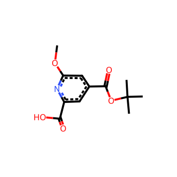 COc1cc(C(=O)OC(C)(C)C)cc(C(=O)O)n1